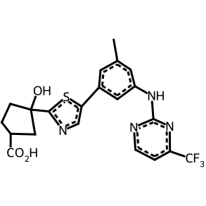 Cc1cc(Nc2nccc(C(F)(F)F)n2)cc(-c2cnc(C3(O)CCC(C(=O)O)C3)s2)c1